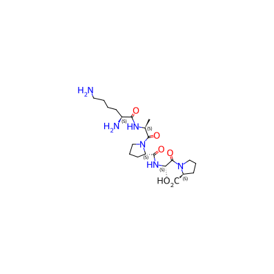 C[C@H](NC(=O)[C@@H]1CCCN1C(=O)[C@H](C)NC(=O)[C@@H](N)CCCCN)C(=O)N1CCC[C@H]1C(=O)O